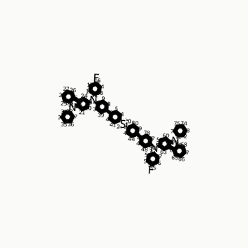 C[Si](C)(c1ccc(-c2ccc(N(c3ccc(F)cc3)c3ccc4c(c3)c3ccccc3n4-c3ccccc3)cc2)cc1)c1ccc(-c2ccc(N(c3ccc(F)cc3)c3ccc4c(c3)c3ccccc3n4-c3ccccc3)cc2)cc1